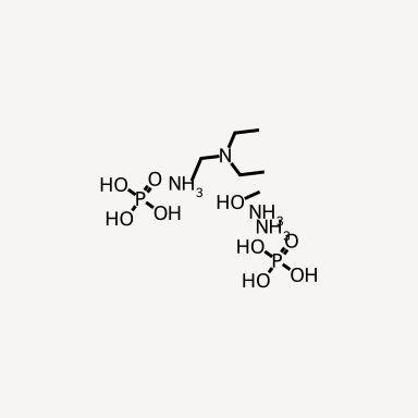 CCN(CC)CC.CO.N.N.N.O=P(O)(O)O.O=P(O)(O)O